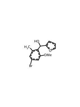 COc1cc(Br)cc(C)c1C(O)c1ccco1